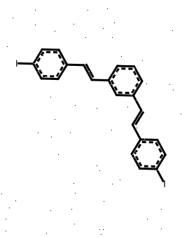 Ic1ccc(C=Cc2cccc(C=Cc3ccc(I)cc3)c2)cc1